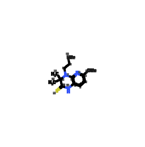 COc1ccc2c(n1)N(CCSC)C(C)(C)C(=S)N2